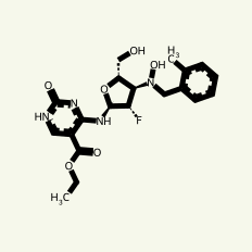 CCOC(=O)c1c[nH]c(=O)nc1N[C@H]1O[C@H](CO)[C@@H](N(O)Cc2ccccc2C)[C@@H]1F